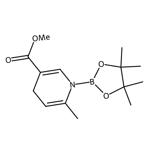 COC(=O)C1=CN(B2OC(C)(C)C(C)(C)O2)C(C)=CC1